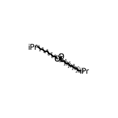 CC(C)CCCCCCCCCOC(=O)CCCCCCCCCC(C)C